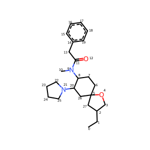 CCC1COC2(CCC(N(C)C(=O)Cc3ccccc3)C(N3CCCC3)C2)C1